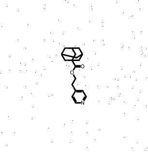 O=C(OCCc1ccncc1)C12CC3CC(CC(C3)C1)C2